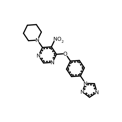 O=[N+]([O-])c1c(Oc2ccc(-n3cncn3)cc2)ncnc1N1CCCCC1